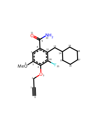 C#CCOc1c(OC)cc(C(N)=O)c(CC2CCCCC2)c1F